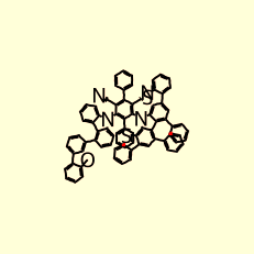 N#Cc1c(-c2ccccc2)c(C#N)c(-n2c3c4sc5ccccc5c4cc(-c4ccccc4)c3c3c(-c4ccccc4)cc4c5ccccc5sc4c32)c(-c2ccccc2)c1-n1c2ccccc2c2c(-c3cccc4c3oc3ccccc34)cccc21